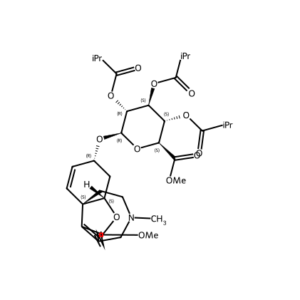 COC(=O)[C@H]1O[C@@H](O[C@H]2C=C[C@@]34CCN(C)Cc5ccc(OC)c(c53)O[C@H]4C2)[C@H](OC(=O)C(C)C)[C@@H](OC(=O)C(C)C)[C@@H]1OC(=O)C(C)C